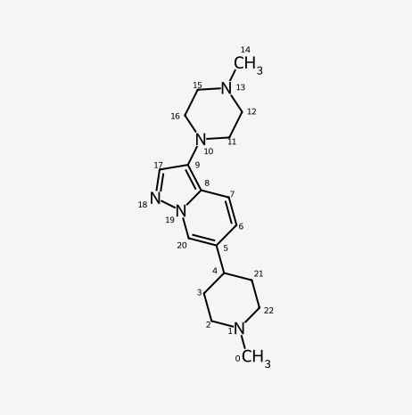 CN1CCC(c2ccc3c(N4CCN(C)CC4)cnn3c2)CC1